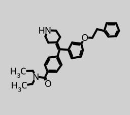 CCN(CC)C(=O)c1ccc(C(=C2CCNCC2)c2cccc(OCCc3ccccc3)c2)cc1